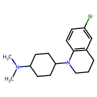 CN(C)C1CCC(N2CCCc3cc(Br)ccc32)CC1